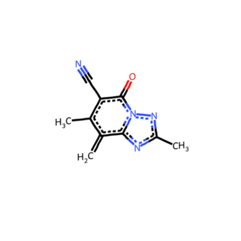 C=c1c(C)c(C#N)c(=O)n2nc(C)nc12